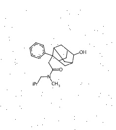 CC(C)CN(C)C(=O)CC1(c2ccccc2)C2CC3CC1CC(C2)C3O